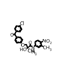 Cc1cc(NC(=O)C(C)(O)COc2ccc(C(=O)c3ccc(Cl)cc3)cc2)ccc1[N+](=O)[O-]